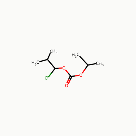 CC(C)OC(=O)OC(Cl)C(C)C